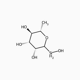 C[C@@H]1OC([SiH2]O)[C@H](O)[C@H](O)[C@H]1O